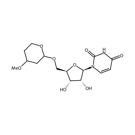 COC1CCOC(OC[C@H]2O[C@@H](n3ccc(=O)[nH]c3=O)[C@H](O)[C@@H]2O)C1